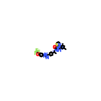 C/C(=C\NC(=O)NC1SCCCN1c1c(C)cc(C)cc1C)c1ccc(-c2ncn(-c3ccc(OC(F)(F)F)cc3)n2)cc1